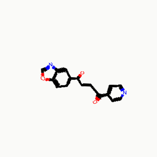 O=C(CCC(=O)c1ccc2ocnc2c1)c1ccncc1